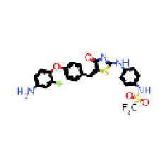 Nc1ccc(Oc2ccc(/C=C3/SC(Nc4ccc(NS(=O)(=O)C(F)(F)F)cc4)=NC3=O)cc2)c(F)c1